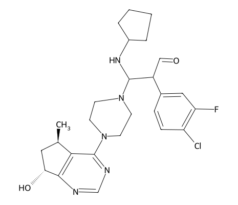 C[C@@H]1C[C@@H](O)c2ncnc(N3CCN(C(NC4CCCC4)C(C=O)c4ccc(Cl)c(F)c4)CC3)c21